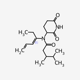 C=C/C=C(\CC)N(C(=O)CC(C)C(C)C)C1CCC(=O)NC1=O